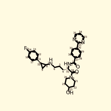 O=C(N[C@@H](CCCNC1C[C@H]1c1ccc(F)cc1)C(=O)N1CCC(O)CC1)c1ccc(-c2ncccn2)cc1